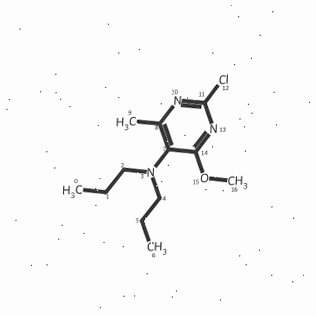 CCCN(CCC)c1c(C)nc(Cl)nc1OC